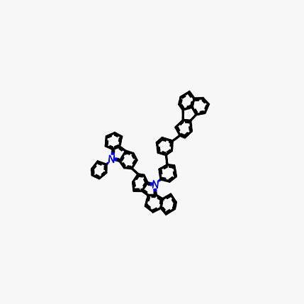 c1ccc(-n2c3ccccc3c3ccc(-c4ccc5c6ccc7ccccc7c6n(-c6cccc(-c7cccc(-c8ccc9c(c8)-c8cccc%10cccc-9c8%10)c7)c6)c5c4)cc32)cc1